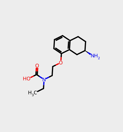 CCN(CCOc1cccc2c1C[C@H](N)CC2)C(=O)O